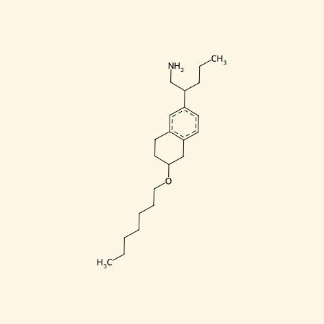 CCCCCCCOC1CCc2cc(C(CN)CCC)ccc2C1